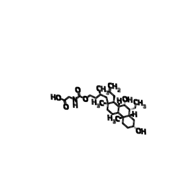 C=CC[C@H]1[C@H]2C(CC[C@]1(C)C[C@H](C)CCOC(=O)NCC(=O)O)[C@@]1(C)CC[C@@H](O)C[C@H]1[C@@H](CC)[C@H]2O